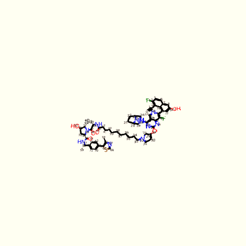 C#Cc1c(F)ccc2cc(O)cc(-c3ncc4c(N5CC6CCC(C5)N6)nc(OC5CCN(CCCCCCCCCCC(=O)N[C@H](C(=O)N6C[C@H](O)C[C@H]6C(=O)N[C@@H](C)c6ccc(-c7scnc7C)cc6)C(C)(C)C)C5)nc4c3F)c12